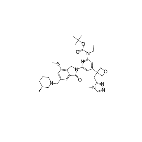 CCN(C(=O)OC(C)(C)C)c1cc(C2(Cc3nncn3C)COC2)cc(N2Cc3c(SC)cc(CN4CCC[C@H](C)C4)cc3C2=O)n1